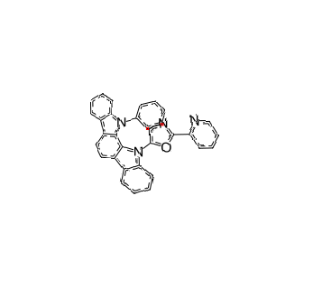 c1ccc(-n2c3ccccc3c3ccc4c5ccccc5n(-c5cnc(-c6ccccn6)o5)c4c32)cc1